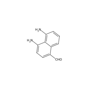 Nc1cccc2c(C=O)ccc(N)c12